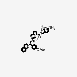 COc1ccc([C@H](CNc2ncc3n(c2=O)[C@H](C(=O)NCc2ccc(N)nc2C)CC3)N2C=Cc3ccccc3C2)cc1